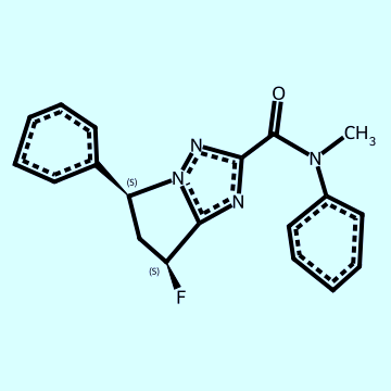 CN(C(=O)c1nc2n(n1)[C@H](c1ccccc1)C[C@@H]2F)c1ccccc1